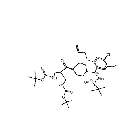 C=CCOc1cc(Cl)c(Cl)cc1[C@H](N[S@@+]([O-])C(C)(C)C)C1CCN(C(=O)C(CNC(=O)OC(C)(C)C)CNC(=O)OC(C)(C)C)CC1